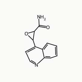 NC(=O)C1OC1c1ccnc2ccccc12